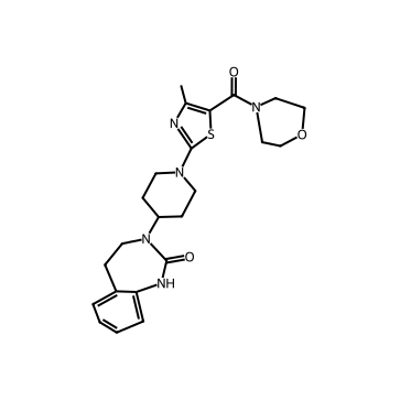 Cc1nc(N2CCC(N3CCc4ccccc4NC3=O)CC2)sc1C(=O)N1CCOCC1